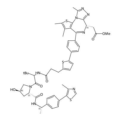 COC(=O)C[C@@H]1N=C(c2ccc(-c3ccc(CCC(=O)NC(C(=O)N4C[C@H](O)C[C@H]4C(=O)N[C@@H](C)c4ccc(-c5scnc5C)cc4)C(C)(C)C)s3)cc2)c2c(sc(C)c2C)-n2c(C)nnc21